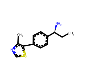 CC[C@H](N)c1ccc(-c2scnc2C)cc1